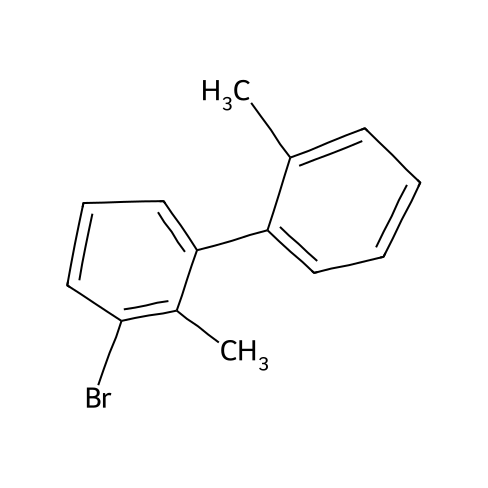 Cc1ccccc1-c1cccc(Br)c1C